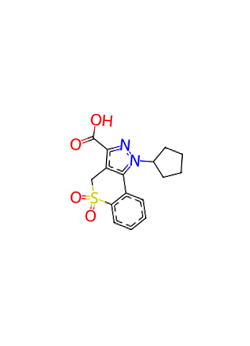 O=C(O)c1nn(C2CCCC2)c2c1CS(=O)(=O)c1ccccc1-2